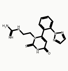 N=C(N)NCCn1c(-c2ccccc2-n2nccn2)cc(=O)[nH]c1=S